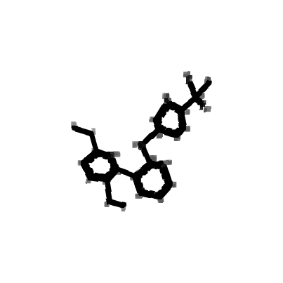 CCc1ccc(CC)c(-c2cccnc2Oc2ccc(C(C)(F)F)nc2)n1